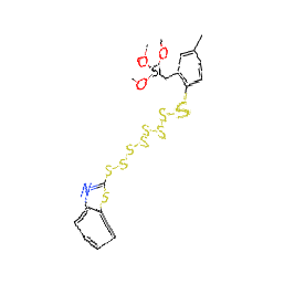 CO[Si](Cc1cc(C)ccc1SSSSSSSSc1nc2ccccc2s1)(OC)OC